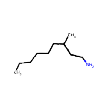 CCCCCCC(C)CCN